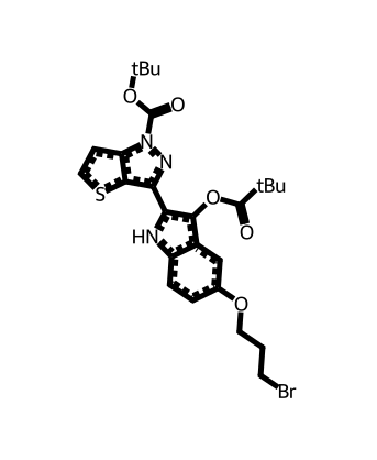 CC(C)(C)OC(=O)n1nc(-c2[nH]c3ccc(OCCCBr)cc3c2OC(=O)C(C)(C)C)c2sccc21